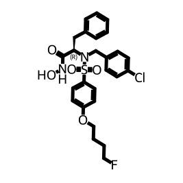 O=C(NO)[C@@H](Cc1ccccc1)N(Cc1ccc(Cl)cc1)S(=O)(=O)c1ccc(OCCCCF)cc1